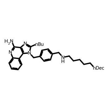 CCCCCCCCCCCCCCCNCc1ccc(Cn2c(CCCC)nc3c(N)nc4ccccc4c32)cc1